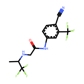 CC(NCC(=O)Nc1ccc(C#N)c(C(F)(F)F)c1)C(F)(F)F